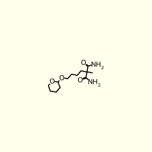 CC(CCCCOC1CCCCO1)(C(N)=O)C(N)=O